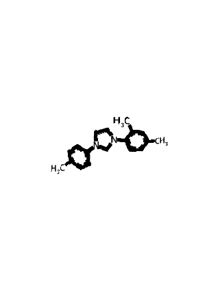 Cc1ccc(N2CCN(c3ccc(C)cc3C)C2)cc1